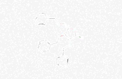 Cl[C@@H]1O[C@@H](COCc2ccccc2)[C@H](OCc2ccccc2)[C@H]1OCc1ccccc1